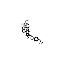 CN(C)Cc1ccc(OCc2scc3c2CN(C2CCC(=O)NC2=O)C3=O)cc1